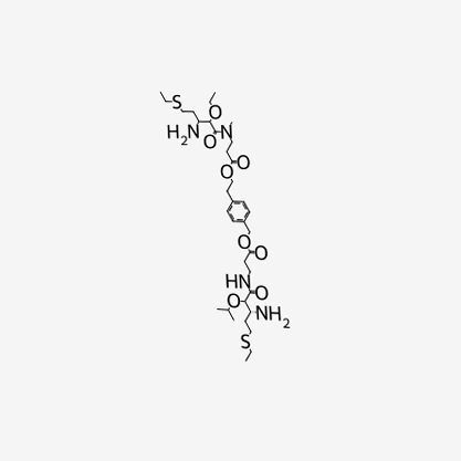 CCOC(C(=O)N(C)CCC(=O)OCCc1ccc(COC(=O)CCNC(=O)C(OC(C)C)[C@H](N)CCSCC)cc1)C(N)CCSCC